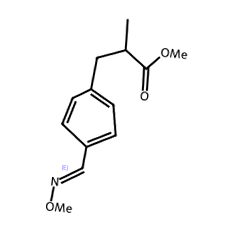 CO/N=C/c1ccc(CC(C)C(=O)OC)cc1